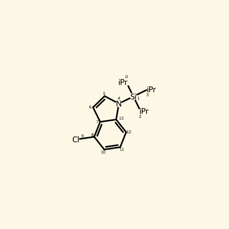 CC(C)[Si](C(C)C)(C(C)C)n1ccc2c(Cl)cccc21